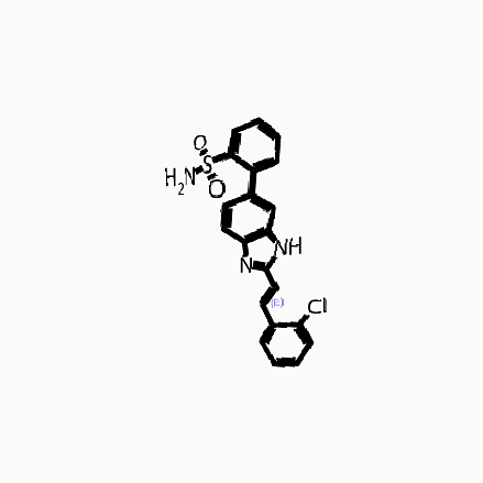 NS(=O)(=O)c1ccccc1-c1ccc2nc(/C=C/c3ccccc3Cl)[nH]c2c1